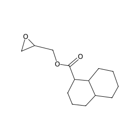 O=C(OCC1CO1)C1CCCC2CCCCC21